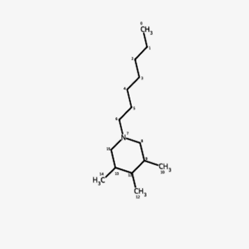 CCCCCCCN1CC(C)C(C)C(C)C1